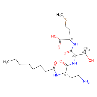 CCCCCCCC(=O)N[C@@H](CCN)C(=O)N[C@H](C(=O)N[C@@H](CCSC)C(=O)O)[C@@H](C)O